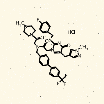 CN1CCN(C(=O)CN(Cc2ccc(-c3ccc(C(F)(F)F)cc3)cc2)C(=O)Cn2cc(Cc3cnn(C)c3)c(=O)nc2SCc2ccc(F)cc2)CC1.Cl